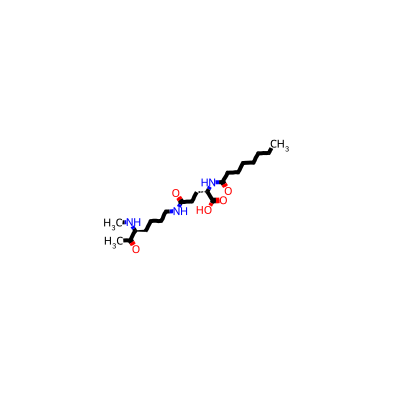 CCCCCCCC(=O)N[C@@H](CCC(=O)NCCCC[C@H](NC)C(C)=O)C(=O)O